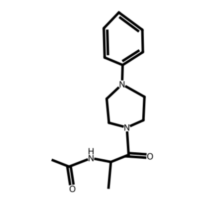 CC(=O)NC(C)C(=O)N1CCN(c2ccccc2)CC1